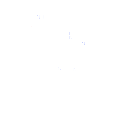 NC(=O)C1CC=C(c2cc3c(-c4cncc(OCc5cccc(F)c5)n4)ccnc3[nH]2)CC1